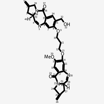 C=C1C[C@H]2C=Nc3cc(OCCCOc4cc5c(cc4OC)C(=O)N4CC(=C)C[C@H]4C=N5)c(CO)cc3C(=O)N2C1